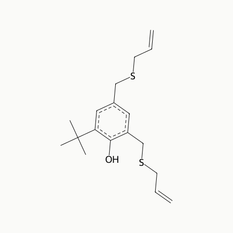 C=CCSCc1cc(CSCC=C)c(O)c(C(C)(C)C)c1